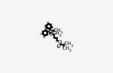 CC(C)C(=O)OCC=CCO[Si](c1ccccc1)(c1ccccc1)C(C)(C)C